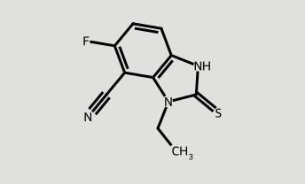 CCn1c(=S)[nH]c2ccc(F)c(C#N)c21